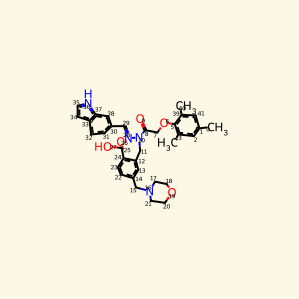 Cc1cc(C)c(OCC(=O)N(Cc2cc(CN3CCOCC3)ccc2C(=O)O)/N=C/c2ccc3cc[nH]c3c2)c(C)c1